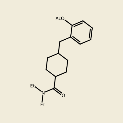 CCN(CC)C(=O)C1CCC(Cc2ccccc2OC(C)=O)CC1